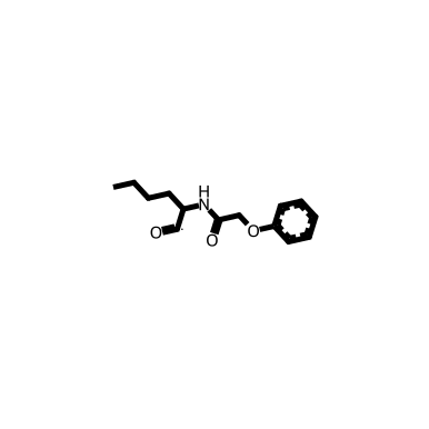 CCCCC([C]=O)NC(=O)COc1ccccc1